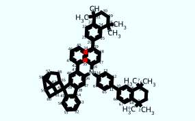 CC1(C)CCC(C)(C)c2cc(-c3ccc(N(c4ccc(-c5ccc6c(c5)C(C)(C)CCC6(C)C)cc4)c4cc5c(cc4-c4ccccc4)C4(c6ccccc6-5)C5CC6CC7CC4C75C6)cc3)ccc21